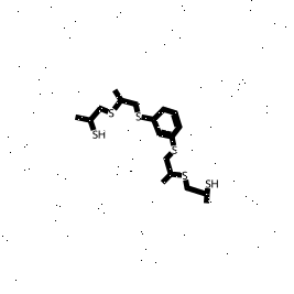 CC(S)CSC(C)CSC1=CC(SCC(C)SCC(C)S)CC=C1